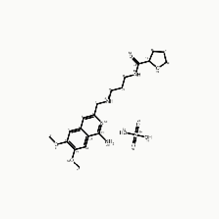 COc1cc2cc(CNCCCNC(=O)C3CCCO3)nc(N)c2cc1OC.O=S(=O)(O)O